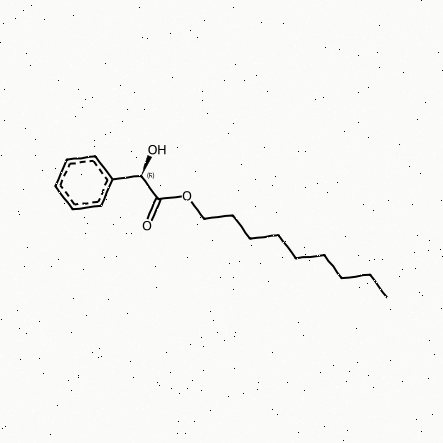 CCCCCCCCCOC(=O)[C@H](O)c1ccccc1